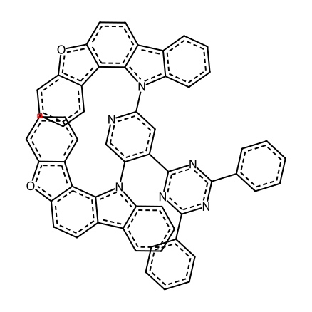 c1ccc(-c2nc(-c3ccccc3)nc(-c3cc(-n4c5ccccc5c5ccc6oc7ccccc7c6c54)ncc3-n3c4ccccc4c4ccc5oc6ccccc6c5c43)n2)cc1